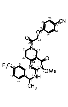 COn1c(NC(C)c2ccc(C(F)(F)F)cc2)nc2c(c1=O)CN(C(=O)COc1ccc(C#N)cc1)CC2